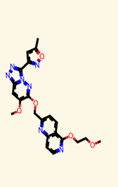 COCCOc1nccc2nc(COc3nn4c(-c5cc(C)on5)nnc4cc3OC)ccc12